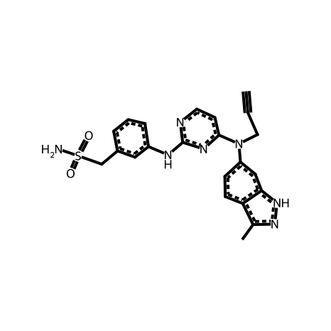 C#CCN(c1ccc2c(C)n[nH]c2c1)c1ccnc(Nc2cccc(CS(N)(=O)=O)c2)n1